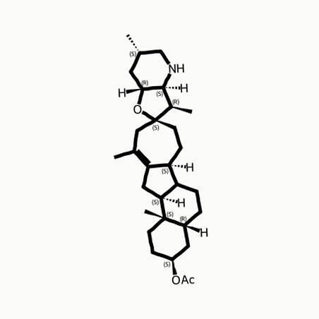 CC(=O)O[C@H]1CC[C@@]2(C)[C@H](CCC3[C@@H]4CC[C@@]5(CC(C)=C4C[C@@H]32)O[C@@H]2C[C@H](C)CN[C@H]2[C@H]5C)C1